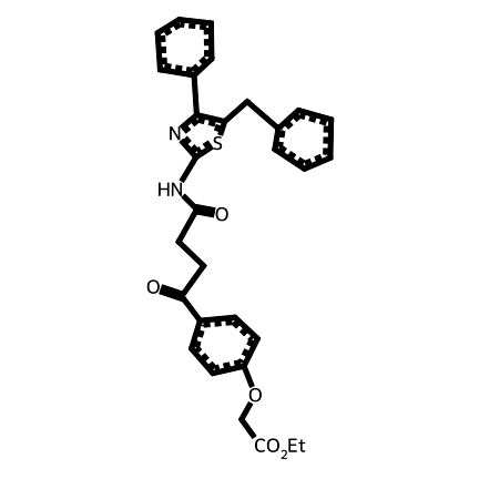 CCOC(=O)COc1ccc(C(=O)CCC(=O)Nc2nc(-c3ccccc3)c(Cc3ccccc3)s2)cc1